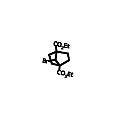 CCOC(=O)C12CCC(C(=O)OCC)(CC1)C2Br